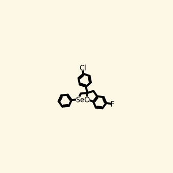 Fc1ccc2c(c1)CC(C[Se]c1ccccc1)(c1ccc(Cl)cc1)O2